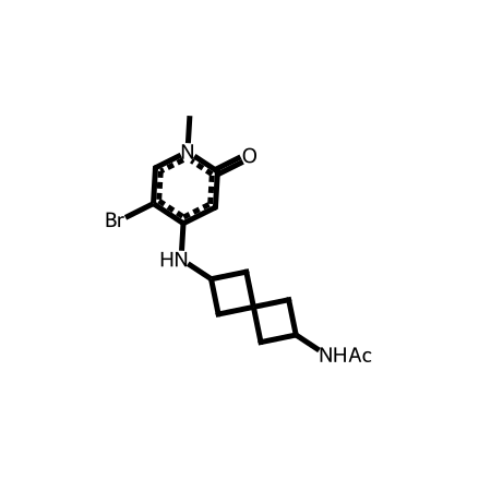 CC(=O)NC1CC2(C1)CC(Nc1cc(=O)n(C)cc1Br)C2